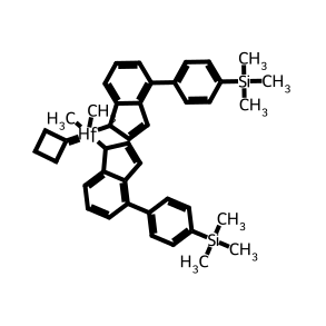 C[Si](C)(C)c1ccc(-c2cccc3c2C=C[CH]3[Hf]([CH3])([CH3])(=[C]2CCC2)[CH]2C=Cc3c(-c4ccc([Si](C)(C)C)cc4)cccc32)cc1